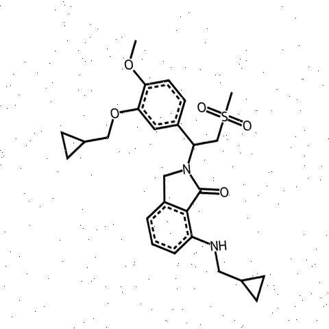 COc1ccc(C(CS(C)(=O)=O)N2Cc3cccc(NCC4CC4)c3C2=O)cc1OCC1CC1